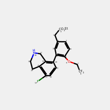 CCOC(=O)Cc1ccc(OCC(F)(F)F)c(-c2ccc(F)c3c2CNCC3)c1